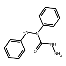 NNC(=O)N(Nc1ccccc1)c1ccccc1